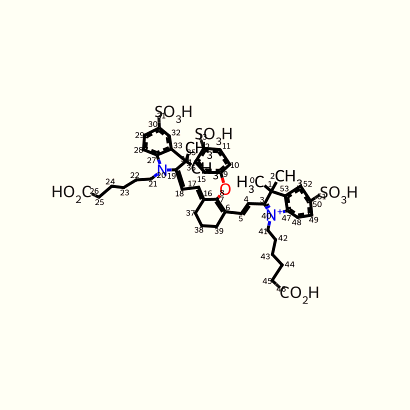 CC1(C)C(/C=C/C2=C(Oc3ccc(S(=O)(=O)O)cc3)C(=C/C=C3/N(CCCCCC(=O)O)c4ccc(S(=O)(=O)O)cc4C3(C)C)/CCC2)=[N+](CCCCCC(=O)O)c2ccc(S(=O)(=O)O)cc21